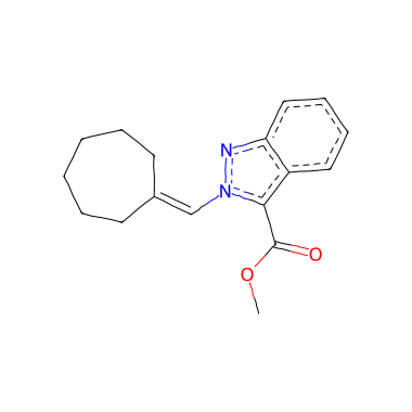 COC(=O)c1c2ccccc2nn1C=C1CCCCCC1